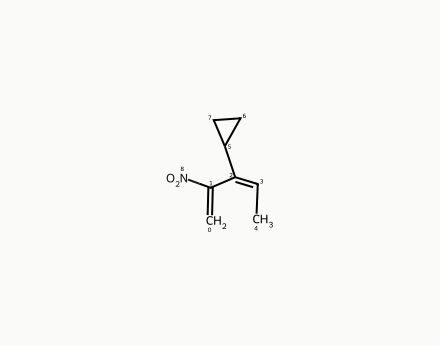 C=C(/C(=C\C)C1CC1)[N+](=O)[O-]